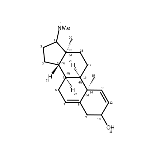 CNC1CC[C@H]2[C@@H]3CC=C4CC(O)C=C[C@]4(C)[C@@H]3CC[C@]12C